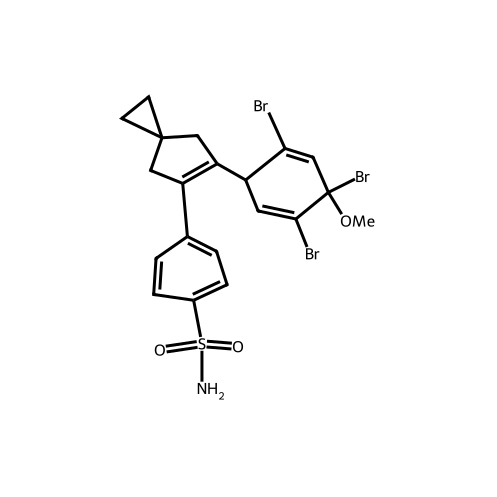 COC1(Br)C=C(Br)C(C2=C(c3ccc(S(N)(=O)=O)cc3)CC3(CC3)C2)C=C1Br